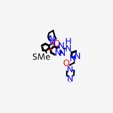 CSc1cccc(C(=O)N2C3CCC2CN(c2cccn4nc(Nc5cnn(CC(=O)N6CCN(C)CC6)c5)nc24)C3)c1